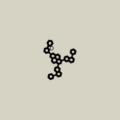 c1ccc(-c2cccc3cc(-c4cc(-c5ccc6c(-c7ccccc7)cccc6c5)c5ccc6cc(-c7cccc8c7oc7ccccc78)cc7ccc4c5c76)ccc23)cc1